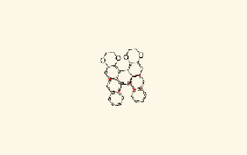 C1=C2OCCOC2=C(c2c(P(c3ccccc3)c3ccccc3)ccc3c2OCCO3)C(P(c2ccccc2)c2ccccc2)C1